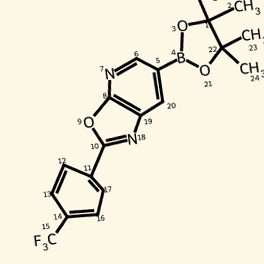 CC1(C)OB(c2cnc3oc(-c4ccc(C(F)(F)F)cc4)nc3c2)OC1(C)C